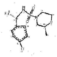 C[C@H]1CN(S(=O)(=O)N[C@H](c2ccc(Cl)cc2)C(F)(F)F)CCO1